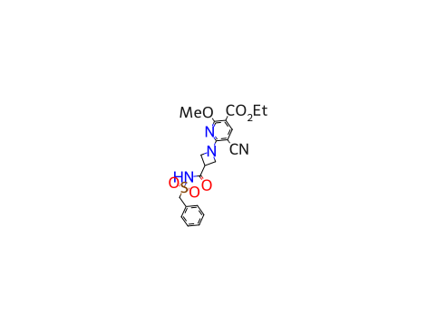 CCOC(=O)c1cc(C#N)c(N2CC(C(=O)NS(=O)(=O)Cc3ccccc3)C2)nc1OC